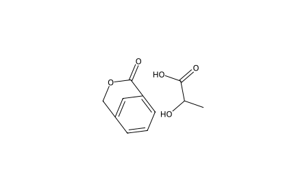 CC(O)C(=O)O.O=C1OCc2cccc1c2